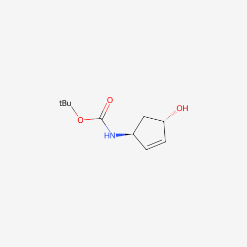 CC(C)(C)OC(=O)N[C@@H]1C=C[C@@H](O)C1